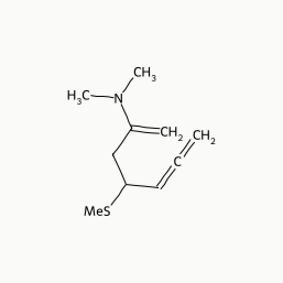 C=C=CC(CC(=C)N(C)C)SC